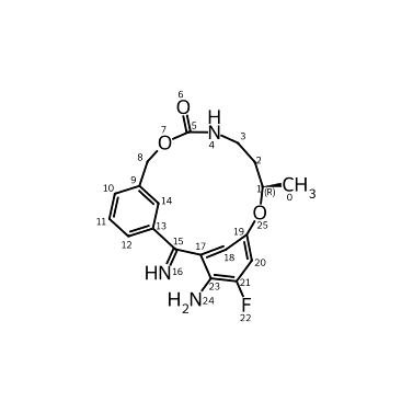 C[C@@H]1CCNC(=O)OCc2cccc(c2)C(=N)c2cc(cc(F)c2N)O1